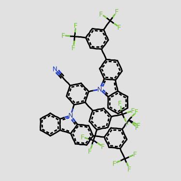 N#Cc1cc(-n2c3ccccc3c3ccc(-c4cc(C(F)(F)F)cc(C(F)(F)F)c4)cc32)c(-c2cc(C(F)(F)F)cc(C(F)(F)F)c2)c(-n2c3ccccc3c3ccc(-c4cc(C(F)(F)F)cc(C(F)(F)F)c4)cc32)c1